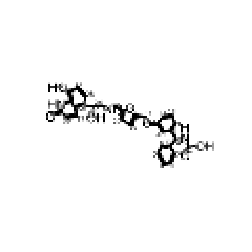 O=C(O)N[C@@H](c1ccccc1)c1cccc(OCc2ccc(CNC[C@H](O)c3ccc(O)c4[nH]c(=O)ccc34)o2)c1